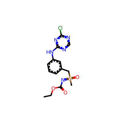 CCOC(=O)N=S(C)(=O)Cc1cccc(Nc2ncnc(Cl)n2)c1